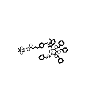 Cc1cccc2c([C@@H]3O[C@H](COCc4ccccc4)[C@@H](OCc4ccccc4)[C@H](OCc4ccccc4)[C@H]3OCc3ccccc3)cn(Cc3ccc(/C=C/CC(=O)OC[C@@H]4COC(C)(C)O4)cc3)c12